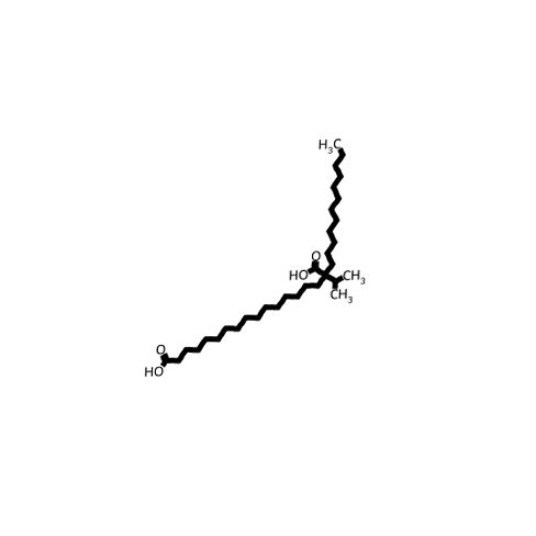 CCCCCCCCCCCCC(CCCCCCCCCCCCCCCC(=O)O)(C(=O)O)C(C)C